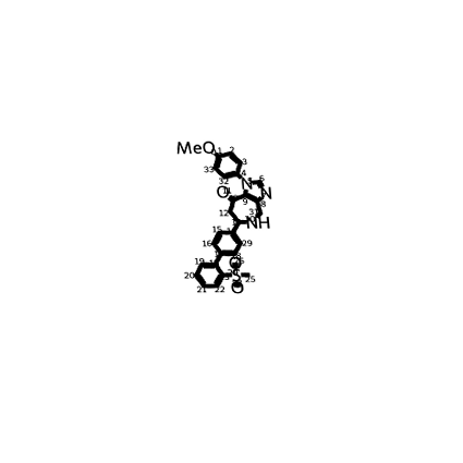 COc1ccc(-n2cnc3c2C(=O)CC(c2ccc(-c4ccccc4S(C)(=O)=O)cc2)NC3)cc1